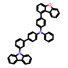 c1ccc(N(c2ccc(-c3cccc(-n4c5ccccc5c5ccccc54)c3)cc2)c2ccc(-c3cccc4oc5ccccc5c34)cc2)cc1